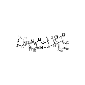 O=C1O[C@]2(CC[C@H](c3nc4nc(N5CCOCC5)ncc4[nH]3)CC2)c2ccccc21